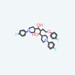 OC(C1CCN(c2ccc(F)cc2)CC1)C(CCOc1ccc(F)cc1)C(O)C1CCN(c2ccc(F)cc2)CC1